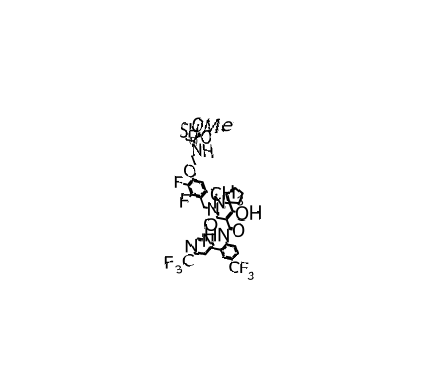 COC(=O)[C@H](CS)NCCOc1ccc(CN2C(=O)C(C(=O)Nc3ccc(C(F)(F)F)cc3-c3cc(C(F)(F)F)ncn3)=C(O)C3(CCCC3)N2C)c(F)c1F